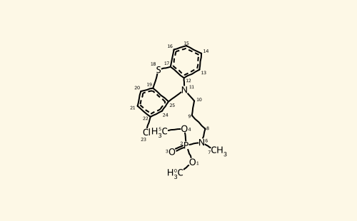 COP(=O)(OC)N(C)CCCN1c2ccccc2Sc2ccc(Cl)cc21